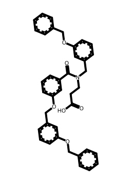 O=C(O)CCN(Cc1cccc(OCc2ccccc2)c1)C(=O)c1cccc(OCc2cccc(OCc3ccccc3)c2)c1